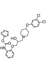 O=C(Nc1ccccc1OCC(O)CN1CCC(Oc2ccc(Cl)c(Cl)c2)CC1)Oc1cccs1